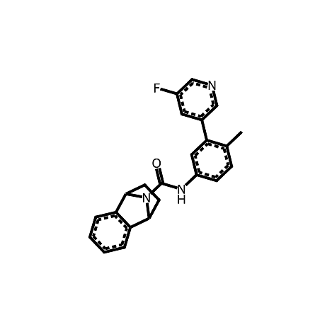 Cc1ccc(NC(=O)N2C3CCC2c2ccccc23)cc1-c1cncc(F)c1